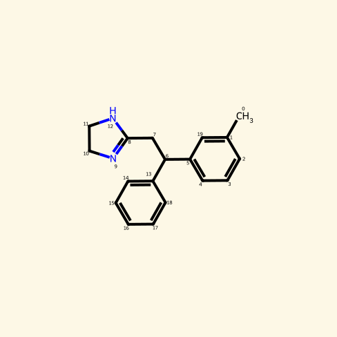 Cc1cccc(C(CC2=NCCN2)c2ccccc2)c1